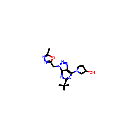 Cc1nnc(Cn2nnc3c(N4CCC(O)C4)nc(C(C)(C)C)nc32)o1